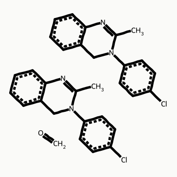 C=O.CC1=Nc2ccccc2CN1c1ccc(Cl)cc1.CC1=Nc2ccccc2CN1c1ccc(Cl)cc1